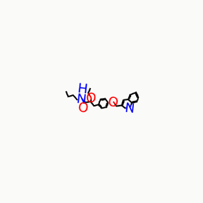 CCCCNC(=O)C(Cc1ccc(OCc2cnc3ccccc3c2)cc1)OCC